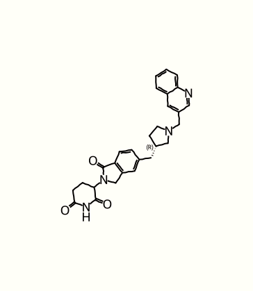 O=C1CCC(N2Cc3cc(C[C@@H]4CCN(Cc5cnc6ccccc6c5)C4)ccc3C2=O)C(=O)N1